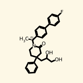 C[C@@H](c1ccc(-c2ccc(F)cc2)cc1)N1CCC(CC(O)CO)(c2ccccc2)CC1=O